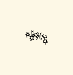 CC1CN(C(=O)c2ccccc2)CCN1C(=O)C(=O)c1c[nH]c2c(-c3cccs3)ccnc12